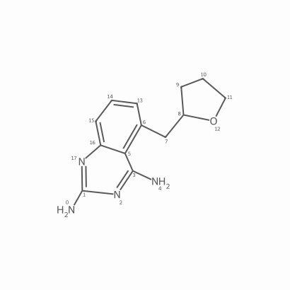 Nc1nc(N)c2c(CC3CCCO3)cccc2n1